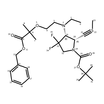 CCN(CCOC(C)(C)C(=O)OCc1ccccc1)[C@@H]1[C@H](C#SC)N(C(=O)OC(C)(C)C)CC1(F)F